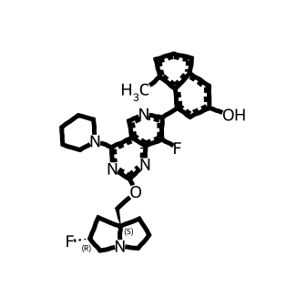 Cc1cccc2cc(O)cc(-c3ncc4c(N5CCCCC5)nc(OC[C@@]56CCCN5C[C@H](F)C6)nc4c3F)c12